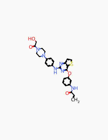 C=CC(=O)Nc1cccc(Oc2nc(Nc3ccc(N4CCN(C(=O)CO)CC4)cc3)nc3ccsc23)c1